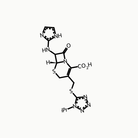 CC(C)n1nnnc1SCC1=C(C(=O)O)N2C(=O)C(Nc3ncc[nH]3)[C@H]2SC1